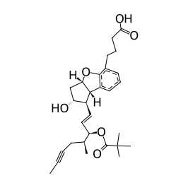 CC#CC[C@H](C)[C@@H](/C=C/[C@@H]1[C@H]2c3cccc(CCCC(=O)O)c3O[C@H]2C[C@H]1O)OC(=O)C(C)(C)C